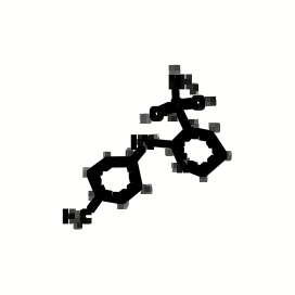 Cc1ccc(Nc2ncccc2S(N)(=O)=O)cc1